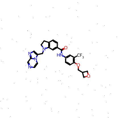 O=C(Nc1ccc(OCC2COC2)c(C(F)(F)F)c1)c1ccc2c(c1)N(Cc1cnc3cnccn13)CC2